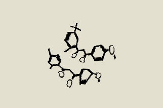 COc1ccc(C(=O)CC(=O)c2cc(C(C)(C)C)ccc2C)cc1.COc1ccc(C(=O)CC(=O)c2ccc(C)cc2C)cc1